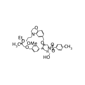 CCO[C@H](C)COCc1ccc([C@H]2C[C@@H](CO)N(S(=O)(=O)c3ccc(C)cc3)C[C@@H]2OCc2ccc3c(c2)N(CCCOC)CCO3)cc1